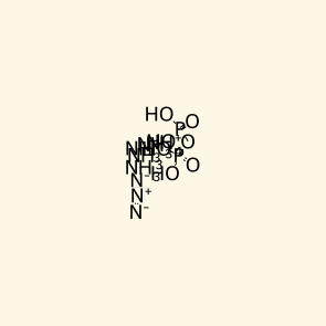 N.N.N.N.O=P(O)(O)OP(=O)(O)O.[N-]=[N+]=[N-].[NH4+]